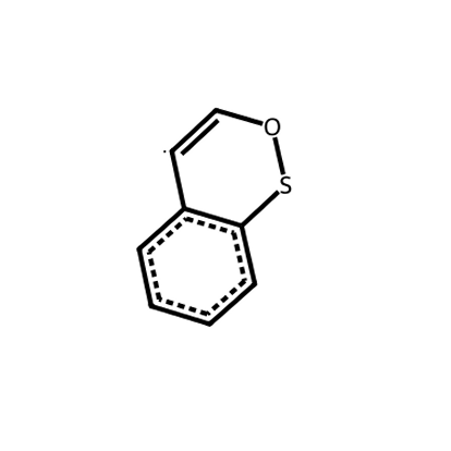 [C]1=COSc2ccccc21